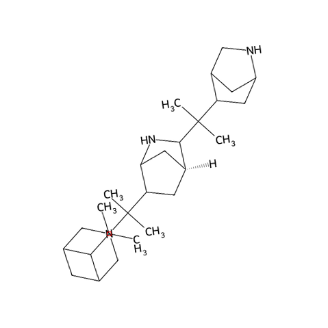 CC(C)C1C2CC1CN(C(C)(C)C1C[C@H]3CC1NC3C(C)(C)C1CC3CC1CN3)C2